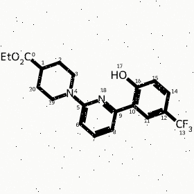 CCOC(=O)C1CCN(c2cccc(-c3cc(C(F)(F)F)ccc3O)n2)CC1